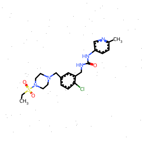 CCS(=O)(=O)N1CCN(Cc2ccc(Cl)c(CNC(=O)Nc3ccc(C)nc3)c2)CC1